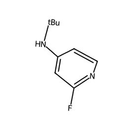 CC(C)(C)Nc1ccnc(F)c1